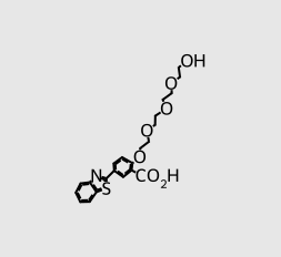 O=C(O)c1cc(-c2nc3ccccc3s2)ccc1OCCOCCOCCOCCO